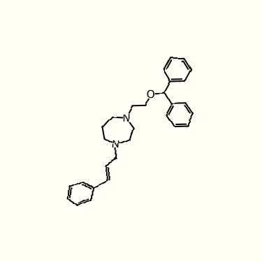 C(=C\c1ccccc1)/CN1CCCN(CCOC(c2ccccc2)c2ccccc2)CC1